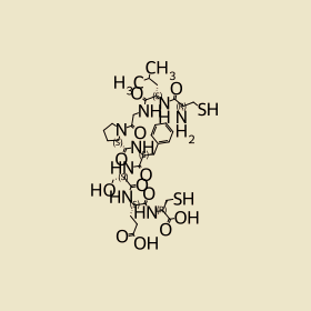 CC(C)C[C@H](NC(=O)[C@@H](N)CS)C(=O)NCC(=O)N1CCC[C@H]1C(=O)N[C@@H](Cc1ccccc1)C(=O)N[C@@H](CO)C(=O)N[C@@H](CCC(=O)O)C(=O)N[C@@H](CS)C(=O)O